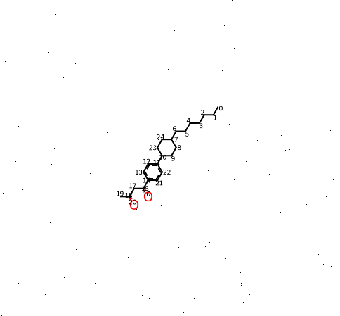 CCCCCCCC1CCC(c2ccc(C(=O)CC(C)=O)cc2)CC1